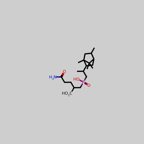 CC1CC2(C)C(C(C)CP(=O)(O)CC(CCC(N)=O)C(=O)O)CC1C2(C)C